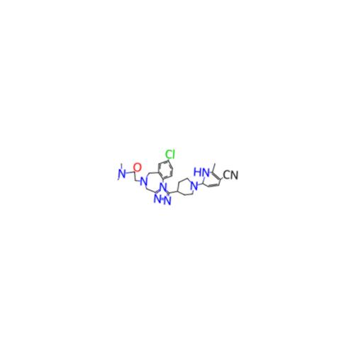 CC1=C(C#N)C=CC(N2CCC(c3nnc4n3-c3ccc(Cl)cc3CN(CC(=O)N(C)C)C4)CC2)N1